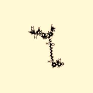 COC1(C(=O)N[C@@H](CCCNC(=O)CCCCCCCCCCNc2cccc(C3CCC(=O)NC3=O)c2)c2ccc(-n3cc(F)cn3)nc2)CCN(c2nc(C)cc(Nc3cc(C)[nH]n3)n2)CC1